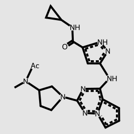 CC(=O)N(C)C1CCN(c2nc(Nc3cc(C(=O)NC4CC4)[nH]n3)c3cccn3n2)C1